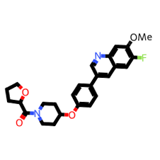 COc1cc2ncc(-c3ccc(OC4CCN(C(=O)C5CCCO5)CC4)cc3)cc2cc1F